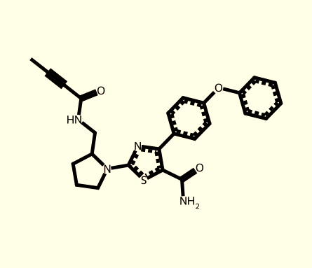 CC#CC(=O)NCC1CCCN1c1nc(-c2ccc(Oc3ccccc3)cc2)c(C(N)=O)s1